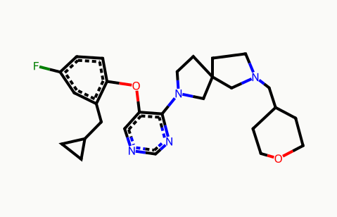 Fc1ccc(Oc2cncnc2N2CCC3(CCN(CC4CCOCC4)C3)C2)c(CC2CC2)c1